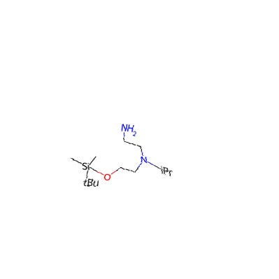 CC(C)N(CCN)CCO[Si](C)(C)C(C)(C)C